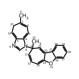 CC1=CC=c2c(ncn2C2(C)C=CC=c3oc4ccccc4c3=C2)=CC1